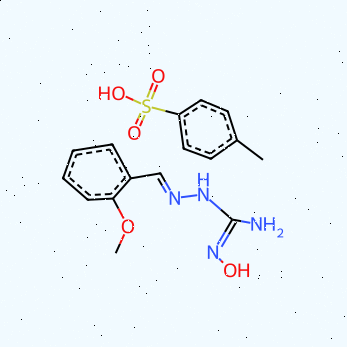 COc1ccccc1C=NNC(N)=NO.Cc1ccc(S(=O)(=O)O)cc1